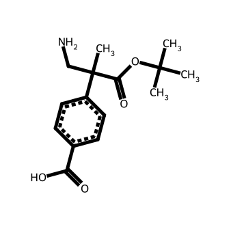 CC(C)(C)OC(=O)C(C)(CN)c1ccc(C(=O)O)cc1